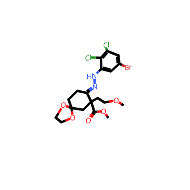 COCCC1(C(=O)OC)CC2(CC/C1=N\Nc1cc(Br)cc(Cl)c1Cl)OCCO2